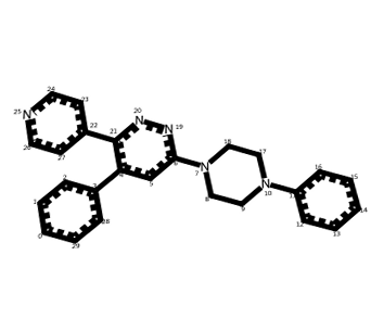 c1ccc(-c2cc(N3CCN(c4ccccc4)CC3)nnc2-c2ccncc2)cc1